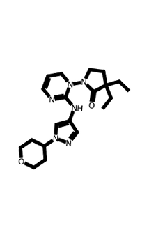 CCC1(CC)CCN(N2CC=CN=C2Nc2cnn(C3CCOCC3)c2)C1=O